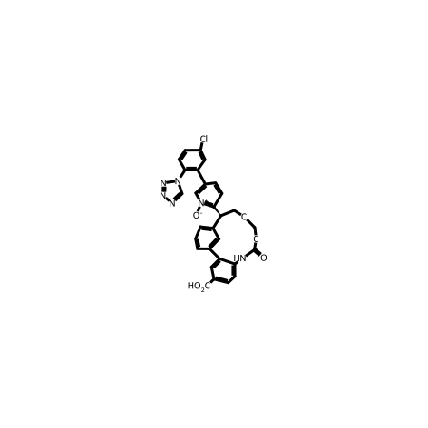 O=C1CCCC[C@H](c2ccc(-c3cc(Cl)ccc3-n3cnnn3)c[n+]2[O-])c2cccc(c2)-c2cc(C(=O)O)ccc2N1